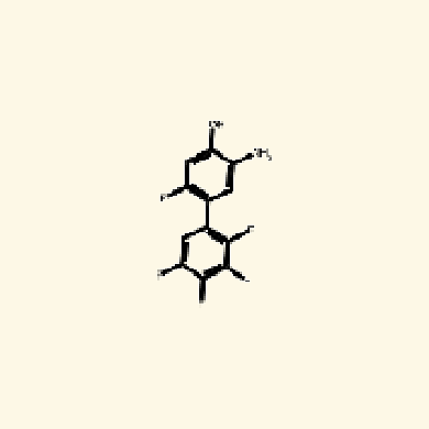 Nc1cc(-c2cc(F)c(F)c(F)c2F)c(F)cc1O